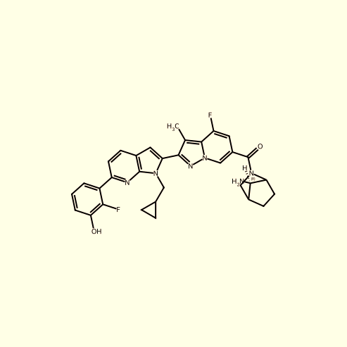 Cc1c(-c2cc3ccc(-c4cccc(O)c4F)nc3n2CC2CC2)nn2cc(C(=O)N3CC4CCC3[C@@H]4N)cc(F)c12